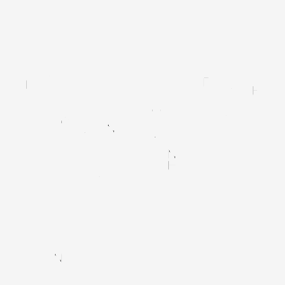 N#Cc1ccc(C(=O)N(CC(=O)Nc2cccc(C(F)(F)F)c2)Cc2cc(F)cc(F)c2)cc1